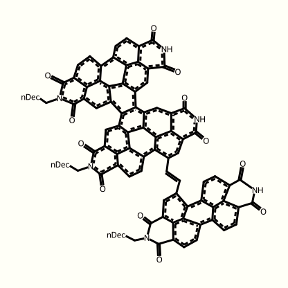 CCCCCCCCCCCN1C(=O)c2ccc3c4ccc5c6c(ccc(c7c(/C=C/c8cc9c(=O)[nH]c(=O)c%10cc%11c%12c%13cc%14c(=O)[nH]c(=O)c%15ccc%16c%17ccc%18c(=O)n(CCCCCCCCCCC)c(=O)c%19cc(c%12c%12cc%20c(=O)n(CCCCCCCCCCC)c(=O)c%21ccc%22c8c(c9%10)c%11c%12c%22c%21%20)c(c%17c%18%19)c%13c%16c%15%14)cc(c2c37)C1=O)c64)C(=O)NC5=O